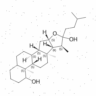 CC(C)CCC1(O)O[C@H]2C[C@H]3[C@@H]4CCC5CCCC(O)[C@]5(C)[C@H]4CC[C@]3(C)[C@H]2[C@@H]1C